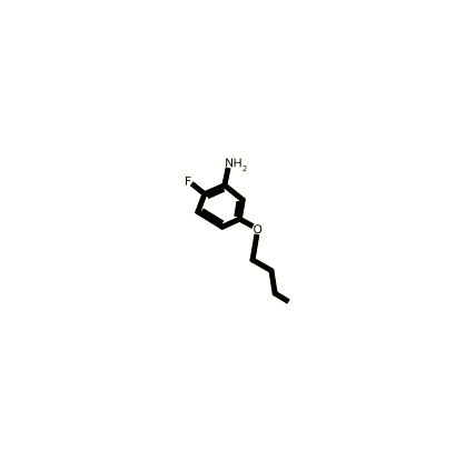 CCCCOc1ccc(F)c(N)c1